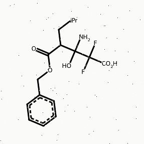 CC(C)CC(C(=O)OCc1ccccc1)C(N)(O)C(F)(F)C(=O)O